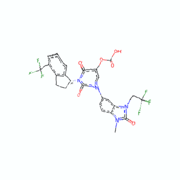 Cn1c(=O)n(CC(F)(F)F)c2cc(-n3cc(OC(=O)O)c(=O)n([C@@H]4CCc5c4cccc5C(F)(F)F)c3=O)ccc21